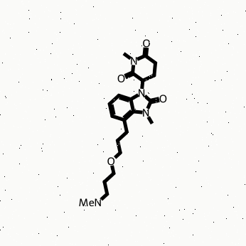 CNCCCOCCCc1cccc2c1n(C)c(=O)n2C1CCC(=O)N(C)C1=O